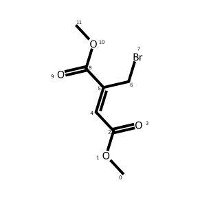 COC(=O)C=C(CBr)C(=O)OC